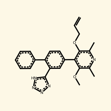 C=CCOc1c(C)nc(C)c(OC)c1-c1ccc(-c2ccccc2)c(-c2nnn[nH]2)c1